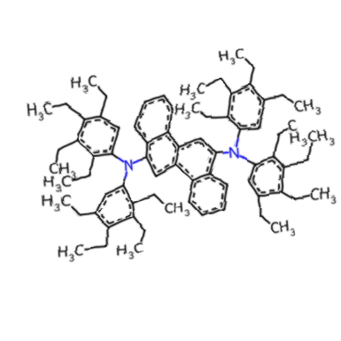 CCc1cc(N(c2cc(CC)c(CC)c(CC)c2CC)c2cc3c4ccccc4c(N(c4cc(CC)c(CC)c(CC)c4CC)c4cc(CC)c(CC)c(CC)c4CC)cc3c3ccccc23)c(CC)c(CC)c1CC